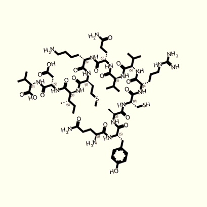 CC[C@H](C)[C@H](NC(=O)[C@H](CCSC)NC(=O)[C@H](CCCCN)NC(=O)[C@H](CCC(N)=O)NC(=O)[C@@H](NC(=O)[C@@H](NC(=O)[C@H](CCCNC(=N)N)NC(=O)[C@H](CS)NC(=O)[C@H](C)NC(=O)[C@H](Cc1ccc(O)cc1)NC(=O)[C@@H](N)CCC(N)=O)C(C)C)C(C)C)C(=O)N[C@@H](CC(=O)O)C(=O)N[C@H](C(=O)O)C(C)C